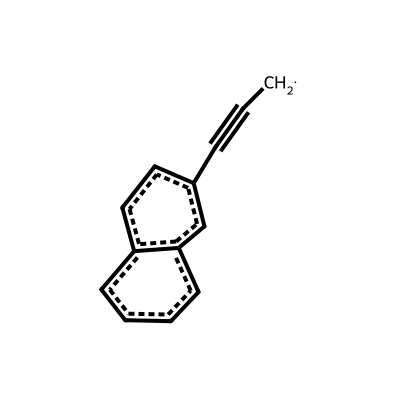 [CH2]C#Cc1ccc2ccccc2c1